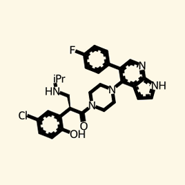 CC(C)NC[C@@H](C(=O)N1CCN(c2c(-c3ccc(F)cc3)cnc3[nH]ccc23)CC1)c1cc(Cl)ccc1O